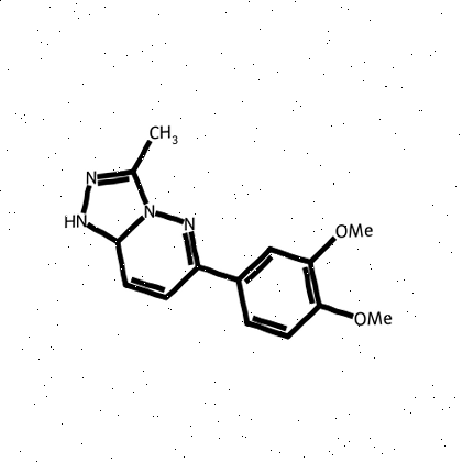 COc1ccc(C2=NN3C(C)=NNC3C=C2)cc1OC